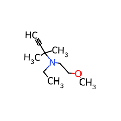 C#CC(C)(C)N(CC)CCOC